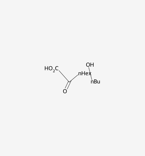 CCCCCCC(=O)C(=O)O.CCCCO